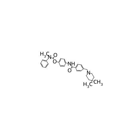 CN(C(=O)Oc1ccc(NC(=O)c2ccc(CN3CCC(C)(C)CC3)cc2)cc1)c1ccccc1